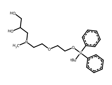 CN(CCOCCO[Si](c1ccccc1)(c1ccccc1)C(C)(C)C)CC(O)CO